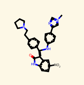 Cn1cnc(-c2ccc(NC(=C3C(=O)Nc4ccc([N+](=O)[O-])cc43)c3ccc(CCN4CCCC4)cc3)cc2)c1